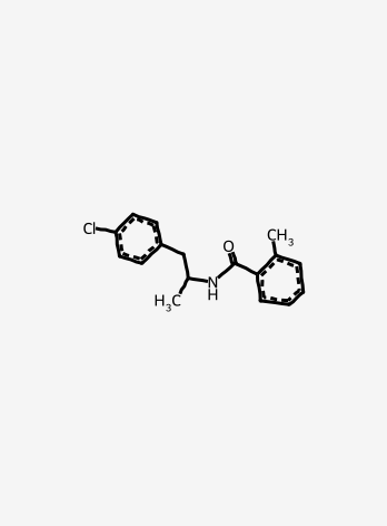 Cc1ccccc1C(=O)NC(C)Cc1ccc(Cl)cc1